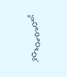 CC=Nc1ccc(/N=C/c2ccc(/C=N/c3ccc(N=Cc4ccc(C)cc4)cc3)s2)cc1